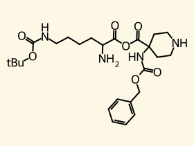 CC(C)(C)OC(=O)NCCCCC(N)C(=O)OC(=O)C1(NC(=O)OCc2ccccc2)CCNCC1